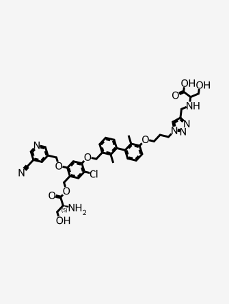 Cc1c(COc2cc(OCc3cncc(C#N)c3)c(COC(=O)[C@@H](N)CO)cc2Cl)cccc1-c1cccc(OCCCn2cc(CNC(CO)C(=O)O)nn2)c1C